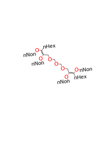 CCCCCCCCCOC(CCCCCC)=C(COCOCOCC(OCCCCCCCCC)=C(CCCCCC)OCCCCCCCCC)OCCCCCCCCC